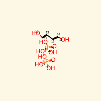 O=P(O)(O)O.O=P(O)(O)O.OC=CC=CO